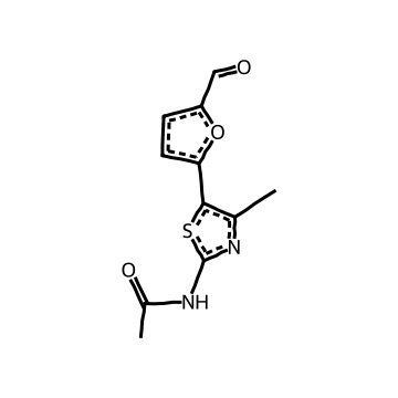 CC(=O)Nc1nc(C)c(-c2ccc(C=O)o2)s1